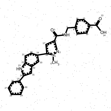 Cn1nc(C(=O)NCc2ccc(C(=O)O)cc2)cc1-c1ccc2[nH]c(-c3ccccc3)cc2c1